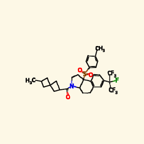 Cc1ccc(S(=O)(=O)C23CCN(C(=O)C4CC5(CC(C)C5)C4)C2CCc2cc(C(F)(C(F)(F)F)C(F)(F)F)ccc23)cc1